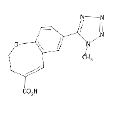 Cn1nnnc1-c1ccc2c(c1)C=C(C(=O)O)CCO2